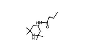 CC=CC(=O)NC1CC(C)(C)NC(C)(C)C1